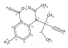 C#CC(C)(CC)N(C(C)=O)c1ccc(C)cc1[N+](=O)[O-]